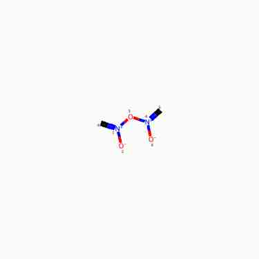 C=[N+]([O-])O[N+](=C)[O-]